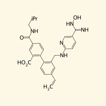 C=Cc1ccc(-c2ccc(C(=O)NCC(C)C)cc2C(=O)O)c(CNc2ccc(C(=N)NO)cn2)c1